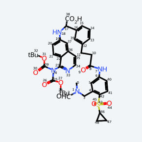 CN(C=O)Cc1cc(NC(=O)CCc2cccc(C(Nc3ccc4c(N(C(=O)OC(C)(C)C)C(=O)OC(C)(C)C)nccc4c3)C(=O)O)c2)ccc1S(=O)(=O)C1CC1